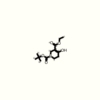 CCOC(=O)C1=C(O)CCN(C(=O)OC(C)(C)C)C1